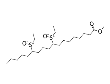 CCCCCC(CCCC(CCCCCCCC(=O)OC)[S+]([O-])CC)[S+]([O-])CC